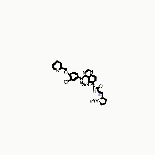 COc1c(NC(=O)/C=C/C2CCCN2C(C)C)ccc2ncnc(Nc3ccc(OCc4ccccn4)c(Cl)c3)c12